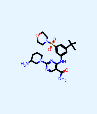 CC(C)(C)c1cc(Nc2nc(N3CCCC(N)C3)ncc2C(N)=O)cc(S(=O)(=O)N2CCOCC2)c1